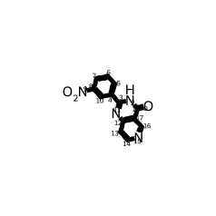 O=c1[nH]c(-c2cccc([N+](=O)[O-])c2)nc2ccncc12